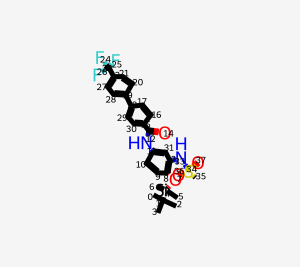 CC(C)(C)[Si](C)(C)Oc1ccc(NC(=O)c2ccc(-c3ccc(C(F)(F)F)cc3)cc2)cc1NS(C)(=O)=O